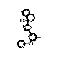 Cc1cc(Nc2ccccn2)nc(-c2cnc(C3(O)CCCc4ccccc43)s2)c1